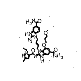 CCn1nc(C)cc1C(=O)/N=c1/[nH]c2cc(C(N)=O)cc(OCCCOC)c2n1C/C=C/Cn1/c(=N\C)[nH]c2cc(C(N)=O)ccc21